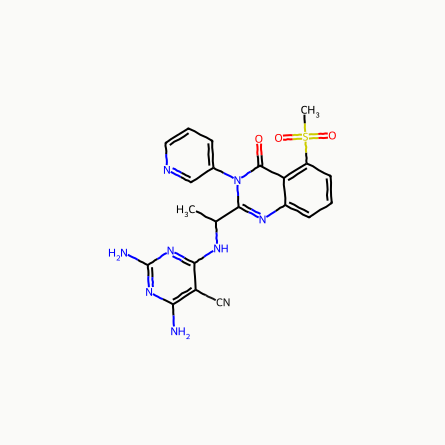 CC(Nc1nc(N)nc(N)c1C#N)c1nc2cccc(S(C)(=O)=O)c2c(=O)n1-c1cccnc1